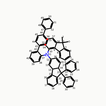 CC1(C)c2ccccc2-c2c(N(C3=CC4c5ccccc5C(c5ccccc5)(c5ccccc5)C4C=C3)c3ccccc3-c3ccc(-c4ccccc4)cc3)cccc21